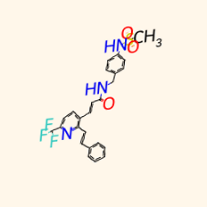 CS(=O)(=O)Nc1ccc(CNC(=O)C=Cc2ccc(C(F)(F)F)nc2C=Cc2ccccc2)cc1